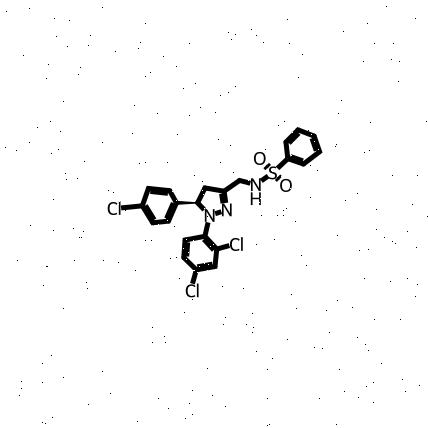 O=S(=O)(NCC1=NN(c2ccc(Cl)cc2Cl)[C@@H](c2ccc(Cl)cc2)C1)c1ccccc1